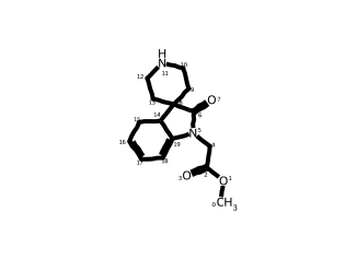 COC(=O)CN1C(=O)C2(CCNCC2)C2CC=CC=C21